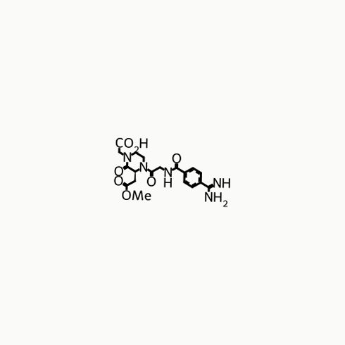 COC(=O)C[C@H]1C(=O)N(CC(=O)O)CCN1C(=O)CNC(=O)c1ccc(C(=N)N)cc1